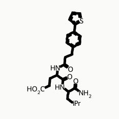 CC(C)CC(NC(=O)C(CCC(=O)O)NC(=O)CCc1ccc(-c2cccs2)cc1)C(N)=O